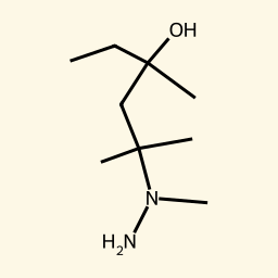 CCC(C)(O)CC(C)(C)N(C)N